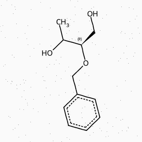 CC(O)[C@@H](CO)OCc1ccccc1